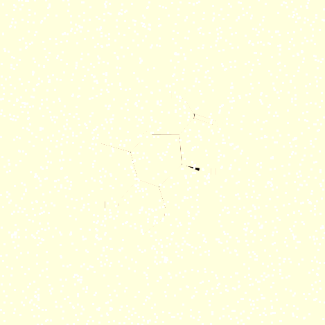 COC1C(O)C(C)OC(C(=O)O)[C@H]1O